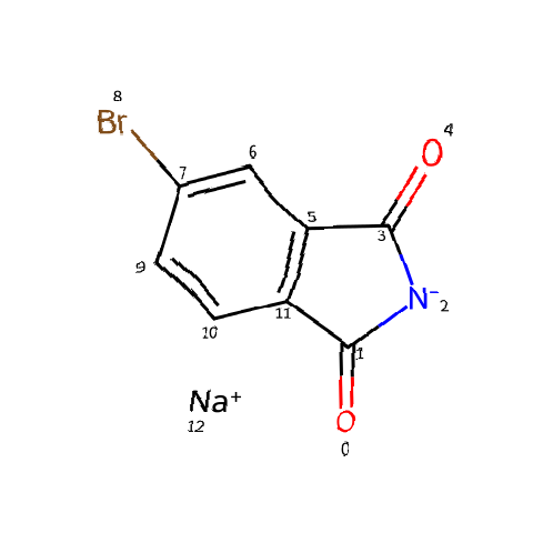 O=C1[N-]C(=O)c2cc(Br)ccc21.[Na+]